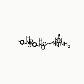 C#Cc1nc(N)c2ncn(CCCCOC(=O)NCc3ccc(S(=O)(=O)NCc4ccc(C)cc4)cc3)c2n1